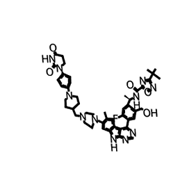 Cc1cc2c(cc1N1CCN(CC3CCN(c4ccc(N5CCC(=O)NC5=O)cc4)CC3)CC1)[nH]c1ncnc(-c3cc(CO)c([C@@H](C)NC(=O)c4nc(C(C)(C)C)no4)cc3F)c12